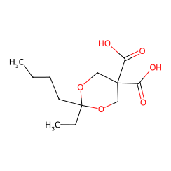 CCCCC1(CC)OCC(C(=O)O)(C(=O)O)CO1